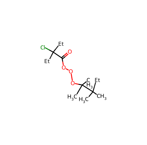 CCC(Cl)(CC)C(=O)OOOC(C)(C)C(C)(C)CC